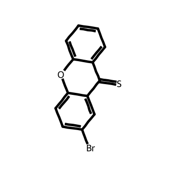 S=c1c2ccccc2oc2ccc(Br)cc12